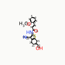 COc1ccccc1/C=C/C(=O)Nc1sc2c(c1C#N)CCC(CO)C2